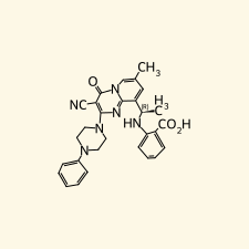 Cc1cc([C@@H](C)Nc2ccccc2C(=O)O)c2nc(N3CCN(c4ccccc4)CC3)c(C#N)c(=O)n2c1